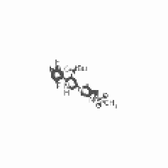 CC(C)(C)N(C(=O)O)[C@H]1C[C@@H](N2Cc3cn(S(C)(=O)=O)nc3C2)CN[C@H]1c1cc(F)ccc1F